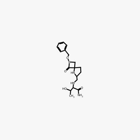 CC(O)C(NCC1CCC2(CN(OCc3ccccc3)C2=O)N1)C(N)=O